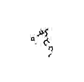 CNc1cc(Nc2cccn([C@H]3CCN(CCF)C3)c2=O)nc2c(C(=O)NC3CC[C@@H]3OC)cnn12